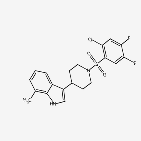 Cc1cccc2c(C3CCN(S(=O)(=O)c4cc(F)c(F)cc4Cl)CC3)c[nH]c12